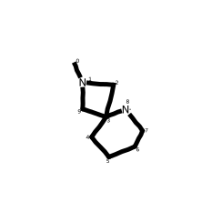 CN1CC2(CCCC[N]2)C1